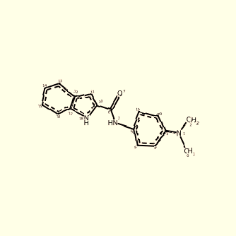 CN(C)c1ccc(NC(=O)c2cc3ccccc3[nH]2)cc1